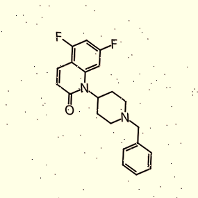 O=c1ccc2c(F)cc(F)cc2n1C1CCN(Cc2ccccc2)CC1